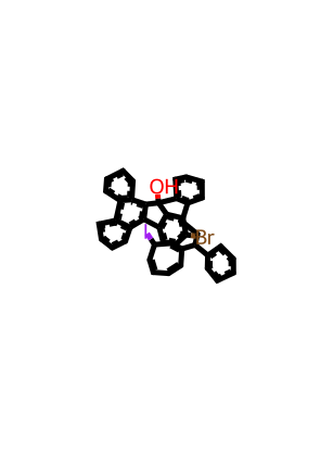 OC1(c2ccccc2CCC(C2=CC(I)C=CC=C2)c2ccccc2)c2cc(Br)ccc2-c2c1c1ccccc1c1ccccc21